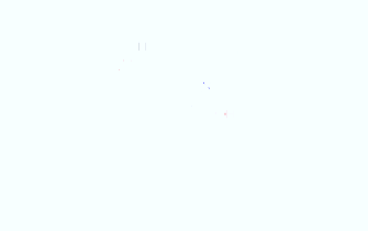 CC1CCC(C(C)C)C(O)(NC(Cl)Cl)C1.O